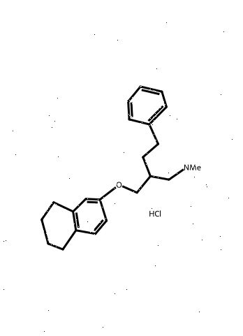 CNCC(CCc1ccccc1)COc1ccc2c(c1)CCCC2.Cl